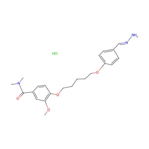 COc1cc(C(=O)N(C)C)ccc1OCCCCCOc1ccc(C=NN)cc1.Cl